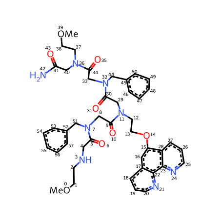 COCCNCC(=O)N(CC(=O)N(CCOc1cc2cccnc2c2ncccc12)CC(=O)N(CC(=O)N(CCOC)CC(N)=O)Cc1ccccc1)Cc1ccccc1